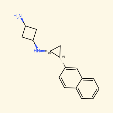 N[C@H]1C[C@@H](N[C@H]2C[C@@H]2c2ccc3ccccc3c2)C1